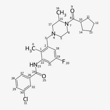 Cc1c(CN2CCN(C(=O)C3CCCC3)C(C)C2)cc(F)cc1NC(=O)c1cccc(Cl)c1